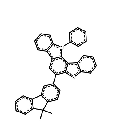 CC1(C)c2ccccc2-c2cc(-c3cc4c5ccccc5n(-c5ccccc5)c4c4c3sc3ccccc34)ccc21